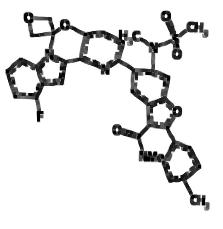 CNC(=O)c1c(-c2ccc(C)cc2)oc2cc(N(C)S(C)(=O)=O)c(-c3ccc4c(n3)-c3cc5c(F)cccc5n3C3(COC3)O4)cc12